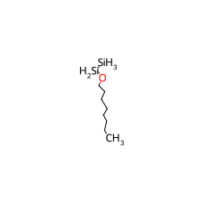 CCCCCCCCO[SiH2][SiH3]